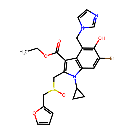 CCOC(=O)c1c(C[S+]([O-])Cc2ccco2)n(C2CC2)c2cc(Br)c(O)c(Cn3ccnc3)c12